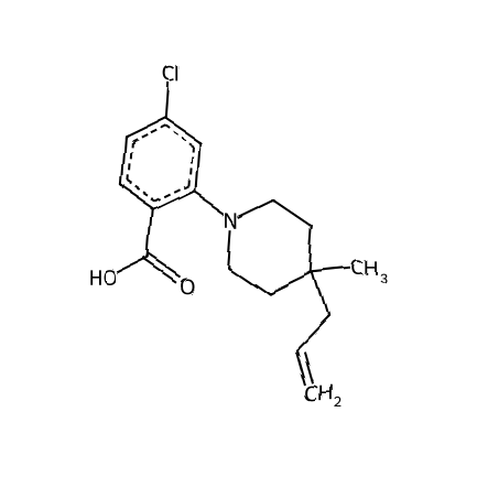 C=CCC1(C)CCN(c2cc(Cl)ccc2C(=O)O)CC1